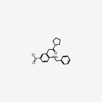 O=C(Cc1cc([N+](=O)[O-])ccc1NCc1ccccc1)N1CCCC1